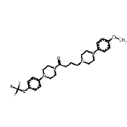 COc1ccc(N2CCN(CCCC(=O)N3CCN(c4ccc(SC(F)(F)F)cc4)CC3)CC2)cc1